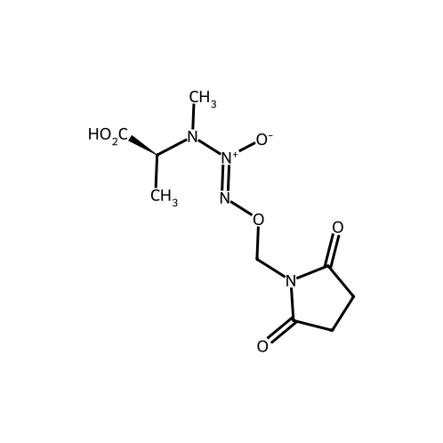 C[C@@H](C(=O)O)N(C)[N+]([O-])=NOCN1C(=O)CCC1=O